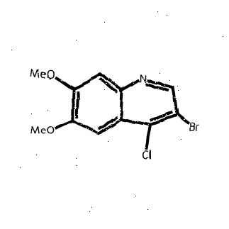 COc1cc2ncc(Br)c(Cl)c2cc1OC